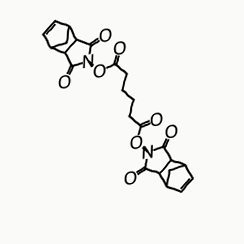 O=C(CCCCC(=O)ON1C(=O)C2C3C=CC(C3)C2C1=O)ON1C(=O)C2C3C=CC(C3)C2C1=O